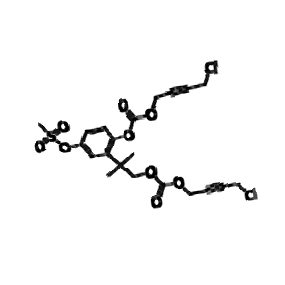 CC(C)(COC(=O)OCC#CCCl)c1cc(OS(C)(=O)=O)ccc1OC(=O)OCC#CCCl